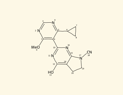 COc1ncnc(C2CC2)c1-c1nc(O)c2c(n1)N(C#N)CC2